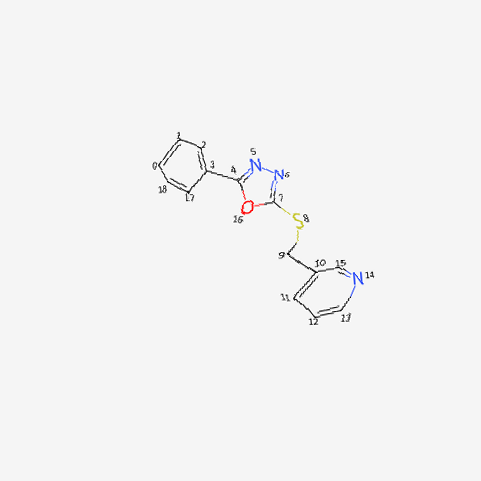 c1ccc(-c2nnc(SCc3cccnc3)o2)cc1